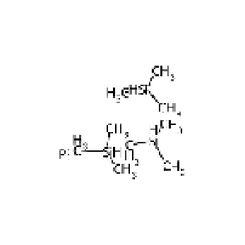 C[SiH](C)C.C[SiH](C)C.C[SiH](C)C.[P]